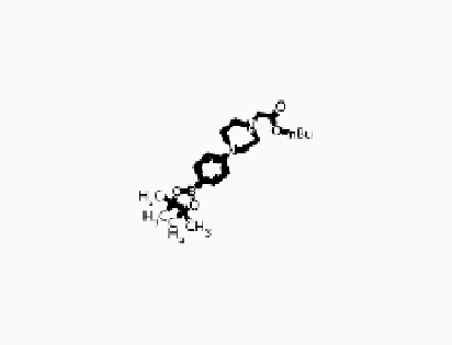 CCCCOC(=O)CN1CCN(c2ccc(B3OC(C)(C)C(C)(C)O3)cc2)CC1